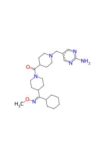 CON=C(C1CCCCC1)C1CCN(C(=O)C2CCN(Cc3cnc(N)nc3)CC2)CC1